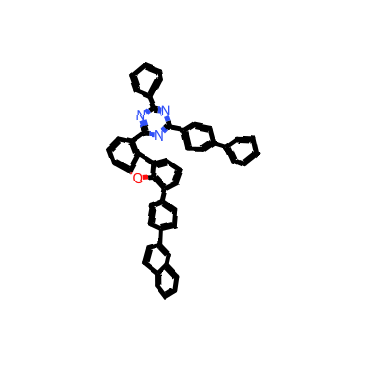 c1ccc(-c2ccc(-c3nc(-c4ccccc4)nc(-c4cccc5oc6c(-c7ccc(-c8ccc9ccccc9c8)cc7)cccc6c45)n3)cc2)cc1